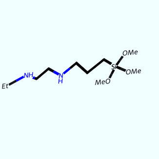 [CH2]CNCCNCCC[Si](OC)(OC)OC